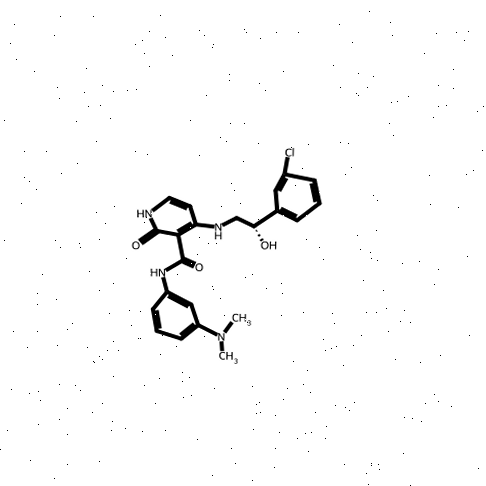 CN(C)c1cccc(NC(=O)c2c(NC[C@@H](O)c3cccc(Cl)c3)cc[nH]c2=O)c1